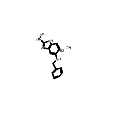 CCCNc1nc2cc(NCc3ccccc3)ccc2[nH]1.Cl.Cl